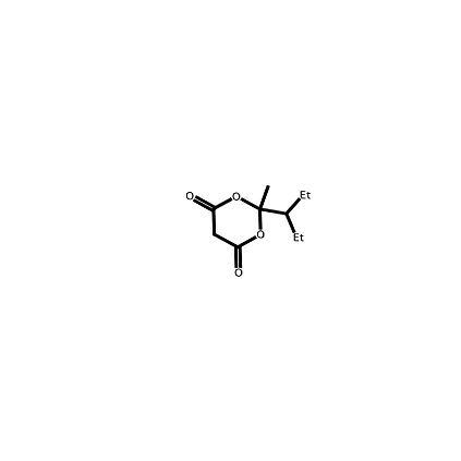 CCC(CC)C1(C)OC(=O)CC(=O)O1